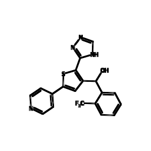 OC(c1ccccc1C(F)(F)F)c1cc(-c2ccncc2)sc1-c1nnc[nH]1